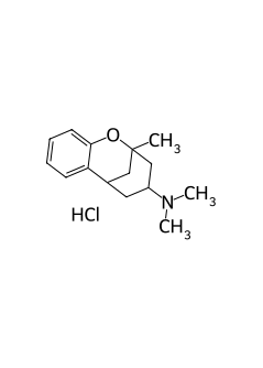 CN(C)C1CC2CC(C)(C1)Oc1ccccc12.Cl